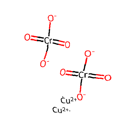 [Cu+2].[Cu+2].[O]=[Cr](=[O])([O-])[O-].[O]=[Cr](=[O])([O-])[O-]